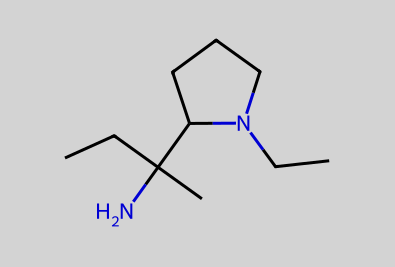 CCN1CCCC1C(C)(N)CC